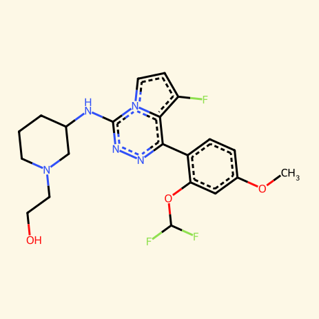 COc1ccc(-c2nnc(NC3CCCN(CCO)C3)n3ccc(F)c23)c(OC(F)F)c1